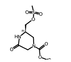 CC(C)(C)OC(=O)N1CC(=O)N[C@@H](COS(C)(=O)=O)C1